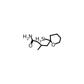 CC(CC(N)=O)CC1([SiH3])CCCCO1